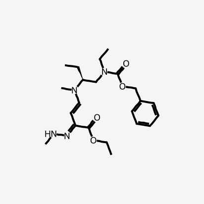 CCOC(=O)C(/C=C/N(C)[C@@H](CC)CN(CC)C(=O)OCc1ccccc1)=N/NC